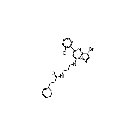 O=C(CCC1=CC=CCC1)NCCCNc1cc(-c2ccccc2Cl)nc2c(Br)cnn12